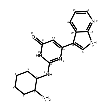 NC1CCCCC1Nc1nc(-c2c[nH]c3ncccc23)cc(=O)[nH]1